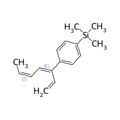 C=C/C(=C\C=C/C)c1ccc([Si](C)(C)C)cc1